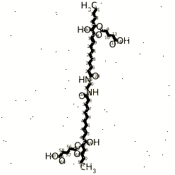 CCCCCC(OC(=O)CCCC(=O)O)C(O)CC=CCCCCCCCC(=O)NCCNC(=O)CCCCCCCC=CCC(O)C(CCCCC)OC(=O)CCCC(=O)O